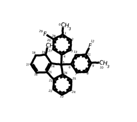 Cc1ccc(C2(c3ccc(C)c(F)c3)C3=C(C=CCC3C)c3ccccc32)cc1F